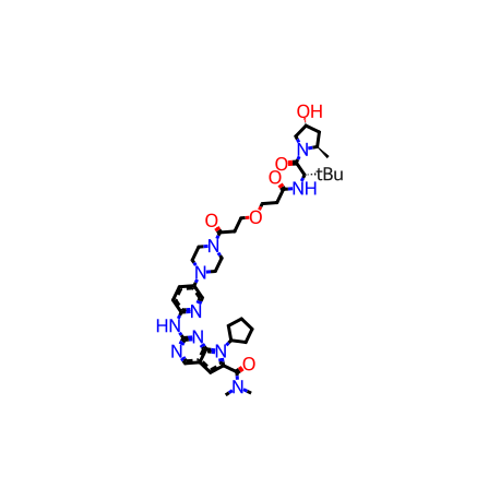 C[C@@H]1C[C@@H](O)CN1C(=O)[C@@H](NC(=O)CCOCCC(=O)N1CCN(c2ccc(Nc3ncc4cc(C(=O)N(C)C)n(C5CCCC5)c4n3)nc2)CC1)C(C)(C)C